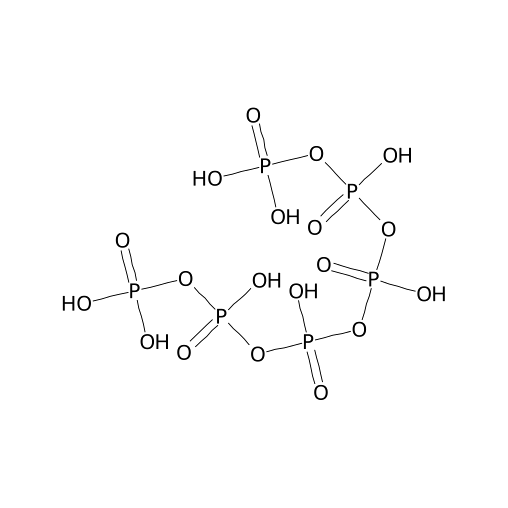 O=P(O)(O)OP(=O)(O)OP(=O)(O)OP(=O)(O)OP(=O)(O)OP(=O)(O)O